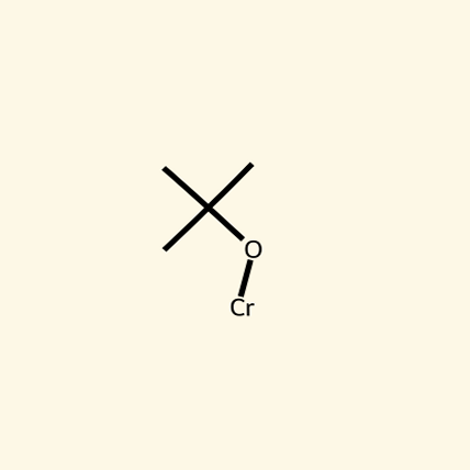 CC(C)(C)[O][Cr]